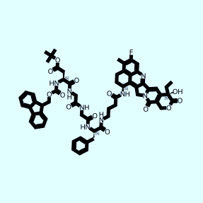 CC[C@@]1(O)C(=O)OCc2c1cc1n(c2=O)Cc2c-1nc1cc(F)c(C)c3c1c2[C@@H](NC(=O)CCCNC(=O)[C@H](Cc1ccccc1)NC(=O)CNC(=O)CNC(=O)[C@H](CC(=O)OC(C)(C)C)NC(=O)OCC1c2ccccc2-c2ccccc21)CC3